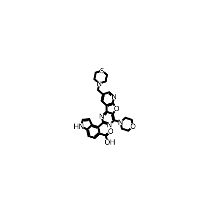 O=C(O)c1ccc2[nH]ccc2c1-c1nc(N2CCOCC2)c2oc3ncc(CN4CCSCC4)cc3c2n1